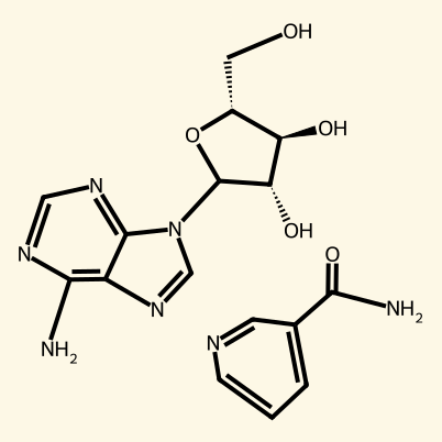 NC(=O)c1cccnc1.Nc1ncnc2c1ncn2C1O[C@H](CO)[C@@H](O)[C@@H]1O